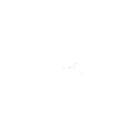 [La].[MgH2].[Mo].[Y]